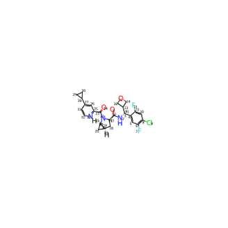 O=C(N[C@@H](c1cc(F)c(Cl)cc1F)C1COC1)[C@H]1C[C@H]2C[C@H]2N1C(=O)c1cc(C2CC2)ccn1